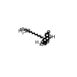 CC(C)(C)[SiH2]OCCCCCCCCCC[C@H]1C[C@]2(C)C(=O)CC[C@H]2[C@@H]2CC[C@@]3(O)CC(=O)CCC3=C12